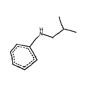 CC(C)[CH]Nc1ccccc1